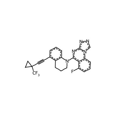 Fc1cccc2c1c(N1CCCc3c(C#CC4(C(F)(F)F)CC4)cccc31)nc1nncn12